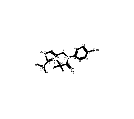 CN(C)c1nc(CN(C(=O)C(C)(C)C)c2ccc(F)cc2)cs1